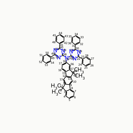 CC1(C)c2ccccc2-c2cc3c(cc21)-c1ccc(N(c2nc(-c4ccccc4)nc(-c4ccccc4)n2)c2nc(-c4ccccc4)nc(-c4ccccc4)n2)cc1C3(C)C